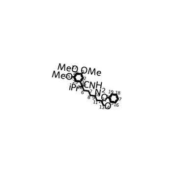 COc1cc(C(C#N)(CCCC(N)CC2COc3ccccc3O2)C(C)C)cc(OC)c1OC